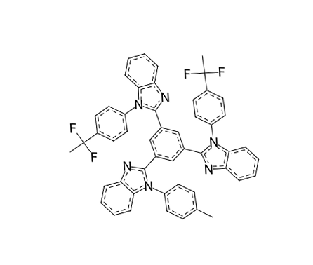 Cc1ccc(-n2c(-c3cc(-c4nc5ccccc5n4-c4ccc(C(C)(F)F)cc4)cc(-c4nc5ccccc5n4-c4ccc(C(C)(F)F)cc4)c3)nc3ccccc32)cc1